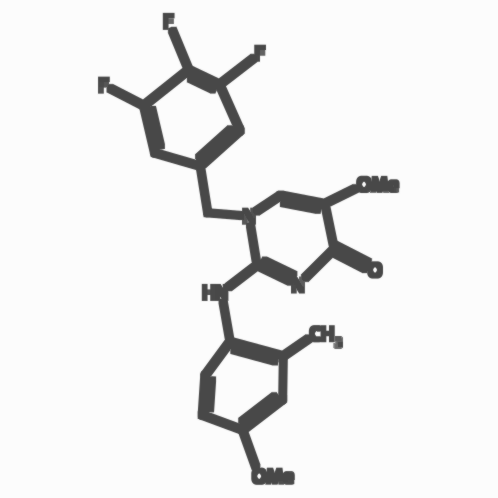 COc1ccc(Nc2nc(=O)c(OC)cn2Cc2cc(F)c(F)c(F)c2)c(C)c1